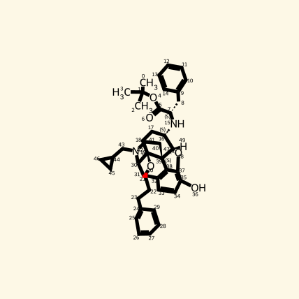 CC(C)(C)OC(=O)[C@H](Cc1ccccc1)N[C@H]1CC[C@@]2(OCCCc3ccccc3)C3Cc4ccc(O)c5c4[C@@]2(CCN3CC2CC2)[C@H]1O5